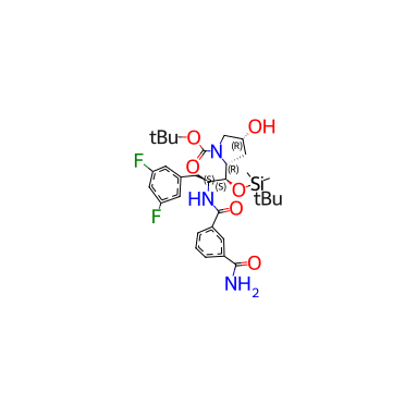 CC(C)(C)OC(=O)N1C[C@H](O)C[C@@H]1[C@@H](O[Si](C)(C)C(C)(C)C)[C@H](Cc1cc(F)cc(F)c1)NC(=O)c1cccc(C(N)=O)c1